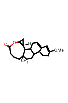 COC1=CC2=CCC3C(CCC4(C)CCCC(=O)OC5C[C@@H]5C34)C2CC1